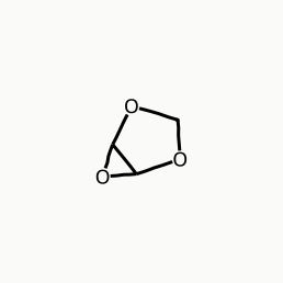 C1OC2OC2O1